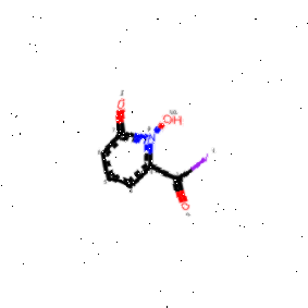 O=C(I)c1cccc(=O)n1O